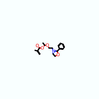 C=C(C)C(=O)OC(C)OCCN1CCOC1c1ccccc1